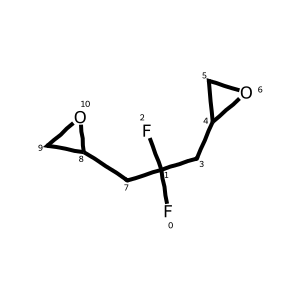 FC(F)(CC1CO1)CC1CO1